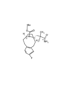 CC(C)(C)OC(=O)N1[C@H]2CCc3ccc(F)cc3CC[C@]1(CC(C)(C)[S@+](N)[O-])CC2